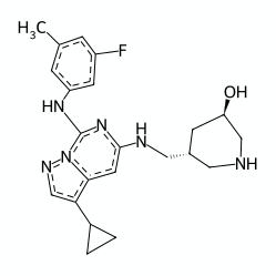 Cc1cc(F)cc(Nc2nc(NC[C@H]3CNC[C@H](O)C3)cc3c(C4CC4)cnn23)c1